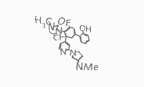 CNC1CCN(c2cc([C@@]3(Cl)CC(c4ccccc4O)=CC(F)=C3N3CCN(C)C3=O)ccn2)C1